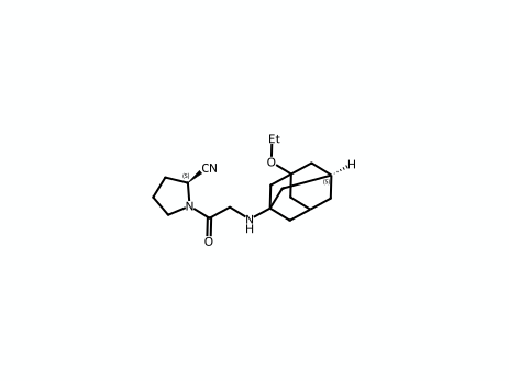 [CH2]COC12CC3C[C@@H](CC(NCC(=O)N4CCC[C@H]4C#N)(C3)C1)C2